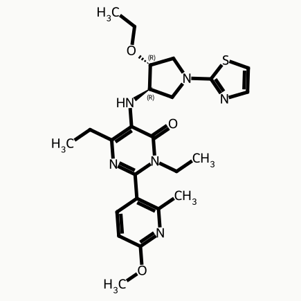 CCO[C@@H]1CN(c2nccs2)C[C@H]1Nc1c(CC)nc(-c2ccc(OC)nc2C)n(CC)c1=O